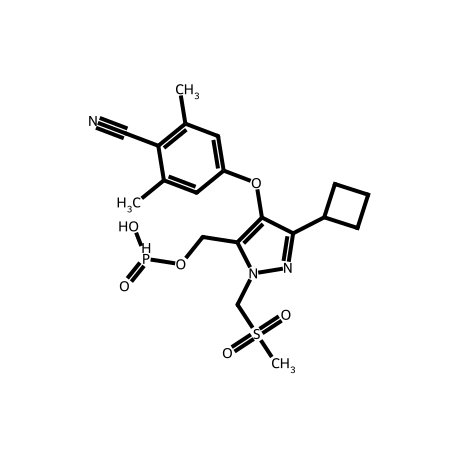 Cc1cc(Oc2c(C3CCC3)nn(CS(C)(=O)=O)c2CO[PH](=O)O)cc(C)c1C#N